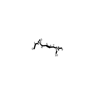 CCN(C)CC=CCN(C)C